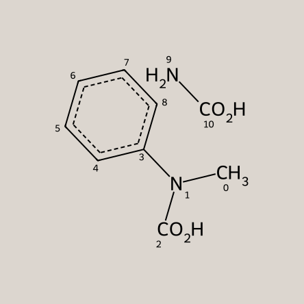 CN(C(=O)O)c1ccccc1.NC(=O)O